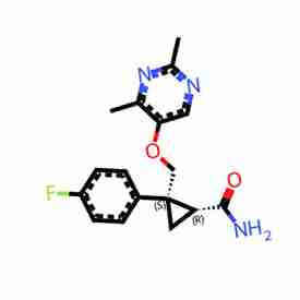 Cc1ncc(OC[C@@]2(c3ccc(F)cc3)C[C@H]2C(N)=O)c(C)n1